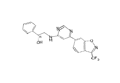 O[C@@H](CNc1cc(-c2ccc3c(C(F)(F)F)noc3c2)ncn1)c1ccccc1